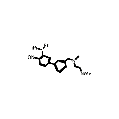 CCN(c1cc(-c2cccc(CN(C)CCNC)c2)ccc1N=O)C(C)C